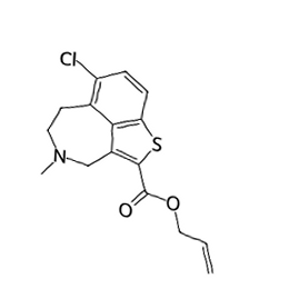 C=CCOC(=O)c1sc2ccc(Cl)c3c2c1CN(C)CC3